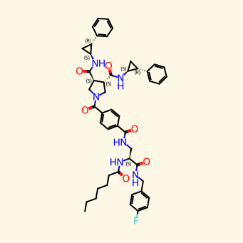 CCCCCCC(=O)N[C@@H](CNC(=O)c1ccc(C(=O)N2C[C@@H](C(=O)N[C@H]3C[C@@H]3c3ccccc3)[C@H](C(=O)N[C@H]3C[C@@H]3c3ccccc3)C2)cc1)C(=O)NCc1ccc(F)cc1